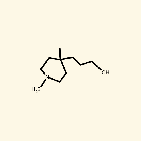 BN1CCC(C)(CCCO)CC1